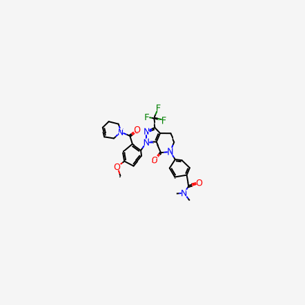 COc1ccc(-n2nc(C(F)(F)F)c3c2C(=O)N(c2ccc(C(=O)N(C)C)cc2)CC3)c(C(=O)N2CC=CCC2)c1